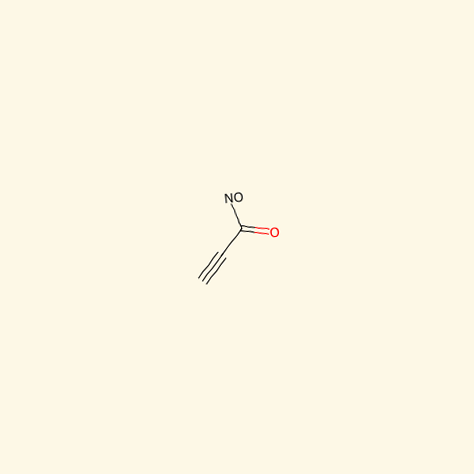 C#CC(=O)N=O